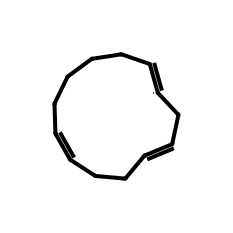 [C]1=C/CCCC/C=C\CC/C=C/C/1